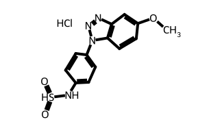 COc1ccc2c(c1)nnn2-c1ccc(N[SH](=O)=O)cc1.Cl